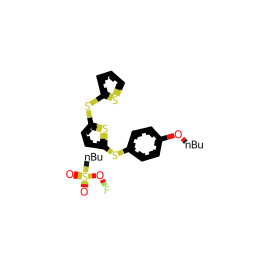 CCCCOc1ccc(Sc2ccc(Sc3cccs3)s2)cc1.CCCCS(=O)(=O)OF